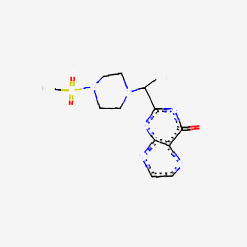 CC(c1nc2nccnc2c(=O)[nH]1)N1CCN(S(C)(=O)=O)CC1